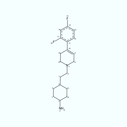 NC1CCC(CCN2CC=C(c3ccc(F)cc3F)CC2)CC1